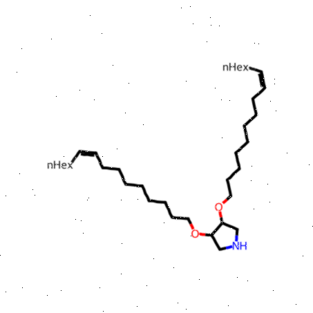 CCCCCC/C=C\CCCCCCCCOC1CNCC1OCCCCCCCC/C=C\CCCCCC